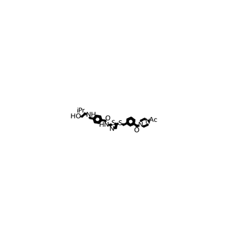 CC(=O)N1CCN(C(=O)c2cccc(CSc3cnc(NC(=O)c4ccc(CN[C@@H](CO)C(C)C)cc4)s3)c2)CC1